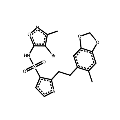 Cc1cc2c(cc1CCc1sccc1S(=O)(=O)Nc1onc(C)c1Br)OCO2